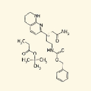 CCC(=O)OC(C)(C)C.NC(=O)C[C@H](CCNC(=O)OCc1ccccc1)c1ccc2c(n1)NCCC2